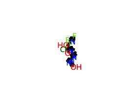 Cc1cnc(-c2ccnc(C(C)(C)O)n2)cc1-n1c(C)cc(C(O)C(F)(F)c2ncc(F)cc2F)c(Cl)c1=O